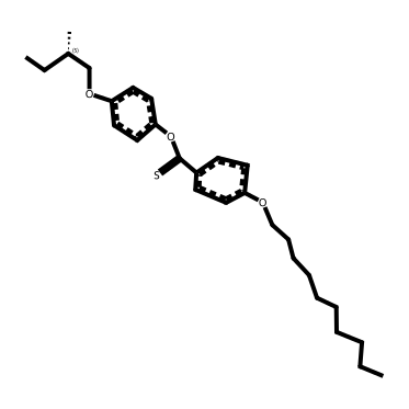 CCCCCCCCCCOc1ccc(C(=S)Oc2ccc(OC[C@@H](C)CC)cc2)cc1